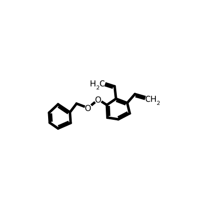 C=Cc1cccc(OOCc2ccccc2)c1C=C